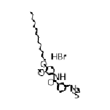 Br.CCCCCCCCCCCCCCOc1ccc(NC(=O)c2cccc(CN3C=CSC3)c2)cc1OC